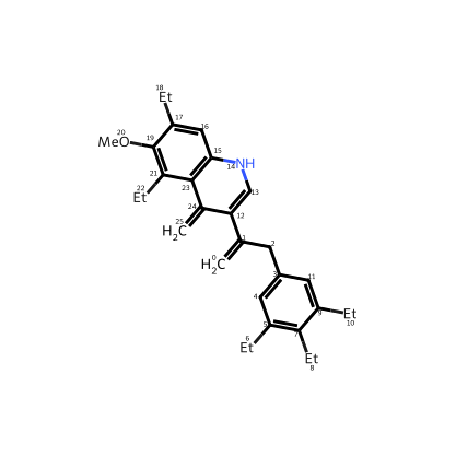 C=C(Cc1cc(CC)c(CC)c(CC)c1)C1=CNc2cc(CC)c(OC)c(CC)c2C1=C